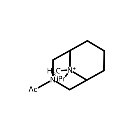 CC(=O)N1CC2CCCC(C1)[N+]2(C)C(C)C